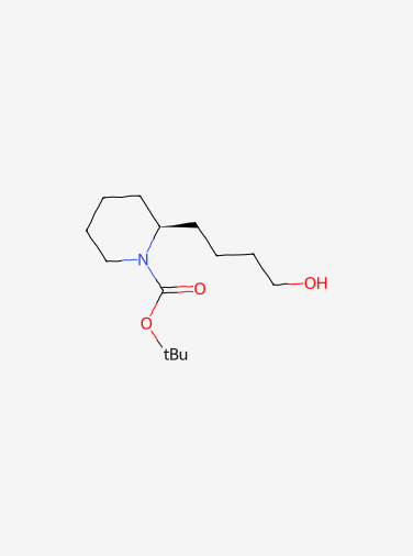 CC(C)(C)OC(=O)N1CCCC[C@H]1CCCCO